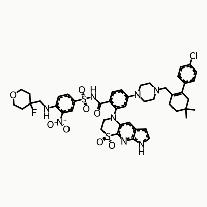 CC1(C)CCC(CN2CCN(c3ccc(C(=O)NS(=O)(=O)c4ccc(NCC5(F)CCOCC5)c([N+](=O)[O-])c4)c(N4CCS(=O)(=O)c5nc6[nH]ccc6cc54)c3)CC2)=C(c2ccc(Cl)cc2)C1